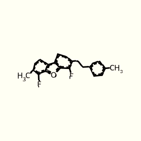 Cc1ccc(CCc2ccc3c(oc4c(F)c(C)ccc43)c2F)cc1